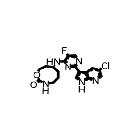 O=C1NCCC[C@H](Nc2nc(-c3c[nH]c4ncc(Cl)cc34)ncc2F)CCO1